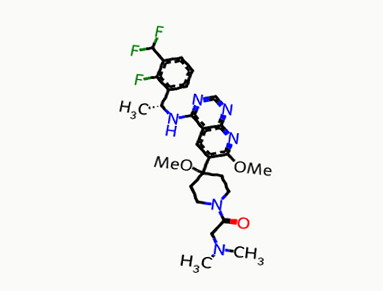 COc1nc2ncnc(N[C@H](C)c3cccc(C(F)F)c3F)c2cc1C1(OC)CCN(C(=O)CN(C)C)CC1